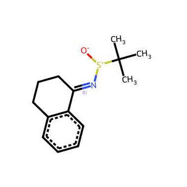 CC(C)(C)[S+]([O-])/N=C1\CCCc2ccccc21